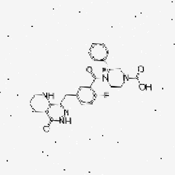 O=C(O)N1CCN(C(=O)c2cc(Cc3n[nH]c(=O)c4c3NCCC4)ccc2F)[C@H](c2ccccc2)C1